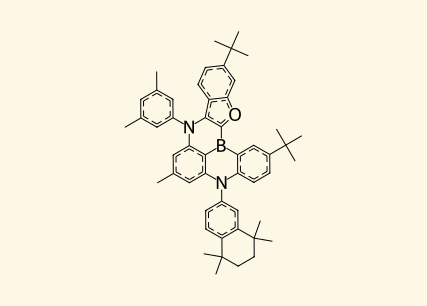 Cc1cc(C)cc(N2c3cc(C)cc4c3B(c3cc(C(C)(C)C)ccc3N4c3ccc4c(c3)C(C)(C)CCC4(C)C)c3oc4cc(C(C)(C)C)ccc4c32)c1